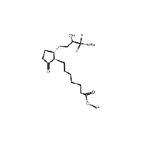 CCCCC(F)(F)C(O)CC[C@H]1CCC(=O)[C@@H]1CCCCCCC(=O)OC(C)C